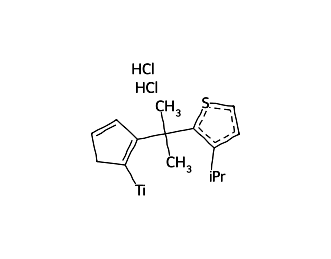 CC(C)c1ccsc1C(C)(C)C1=[C]([Ti])CC=C1.Cl.Cl